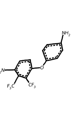 Nc1ccc(Oc2ccc(N)c(C(F)(F)F)c2C(F)(F)F)cc1